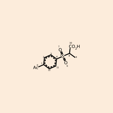 CC(=O)c1ccc(S(=O)(=O)C(C)C(=O)O)cc1